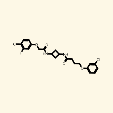 O=C(CCCOc1cccc(Cl)c1)NC1CC(NC(=O)COc2ccc(Cl)c(F)c2)C1